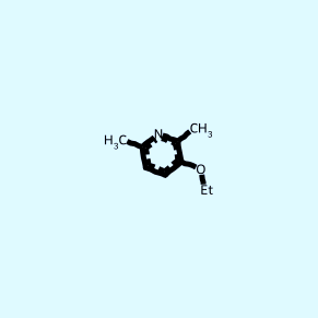 CCOc1ccc(C)nc1C